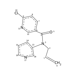 C=CCN(C(=O)c1ccc(Cl)nc1)c1cccnc1